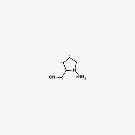 NN1CCCC1CN=O